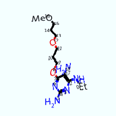 CCNc1nc(N)nc(OCCCOCCCOC)c1N